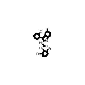 Cc1ccc2sc(NC(=O)Nc3c(C(C)C)cccc3C(C)C)c(-c3ccccc3Cl)c2c1